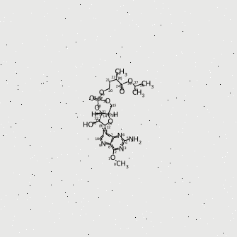 COc1nc(N)nc2c1ncn2[C@@H]1O[C@@H]2CO[P@@](=O)(OCC[C@@H](C)C(=O)OC(C)C)O[C@H]2[C@@H]1O